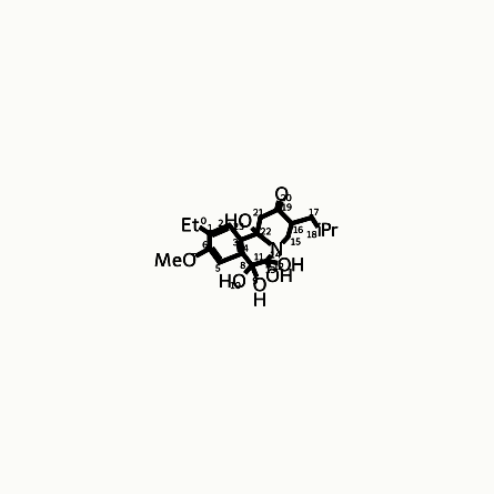 CCc1cc2c(cc1OC)C(O)(O)C(O)(O)N1CC(CC(C)C)C(=O)CC21O